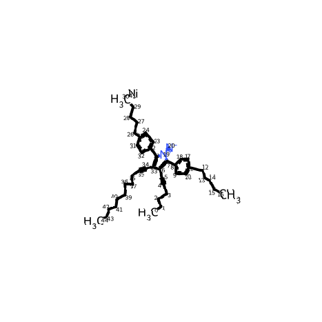 CCCCC#CC1=C(c2ccc(CCCCC)cc2)[N+](=[N-])C(c2ccc(CCCCC)cc2)=C1C#CCCCCCCCCC.[Ni]